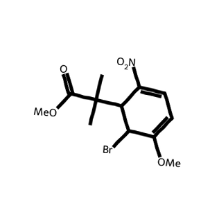 COC(=O)C(C)(C)C1C([N+](=O)[O-])=CC=C(OC)C1Br